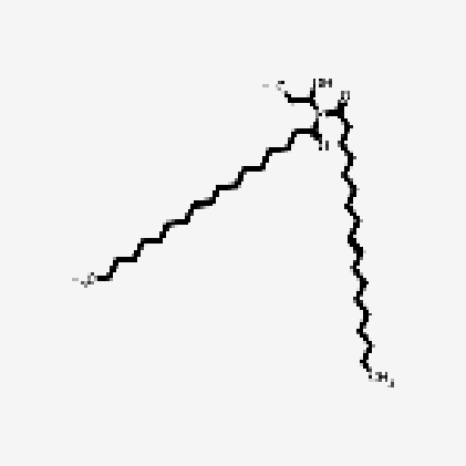 CCCCCCCCC=CCCCCCCCC(=O)P(C(=O)CCCCCCCC=CCCCCCCCC)C(O)CC